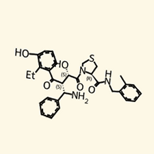 CCc1c(O)cccc1C(=O)[C@@H](C(N)c1ccccc1)[C@H](O)C(=O)N1CSC[C@H]1C(=O)NCc1ccccc1C